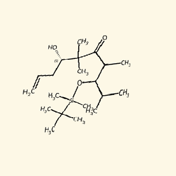 C=CC[C@H](O)C(C)(C)C(=O)C(C)C(O[Si](C)(C)C(C)(C)C)C(C)C